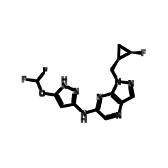 FC(F)Oc1cc(Nc2cnc3cnn(C[C@H]4C[C@H]4F)c3n2)n[nH]1